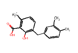 Cc1ccc(Cc2ccc(C)c(C(=O)O)c2O)cc1C